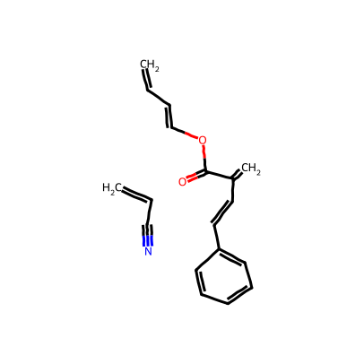 C=CC#N.C=CC=COC(=O)C(=C)C=Cc1ccccc1